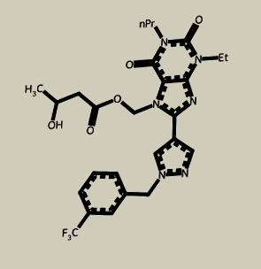 CCCn1c(=O)c2c(nc(-c3cnn(Cc4cccc(C(F)(F)F)c4)c3)n2COC(=O)CC(C)O)n(CC)c1=O